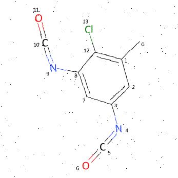 Cc1cc(N=C=O)cc(N=C=O)c1Cl